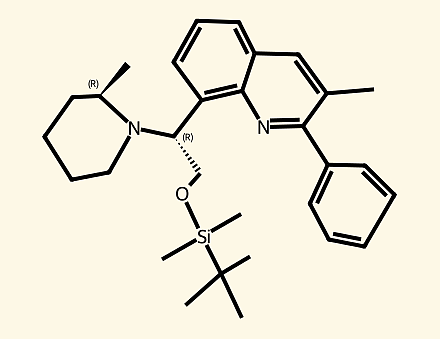 Cc1cc2cccc([C@H](CO[Si](C)(C)C(C)(C)C)N3CCCC[C@H]3C)c2nc1-c1ccccc1